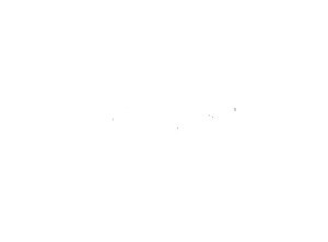 CCCN1CCN(CCCN(C)C)CC1